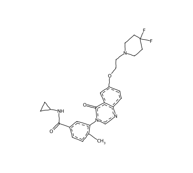 Cc1ccc(C(=O)NC2CC2)cc1-n1cnc2ccc(OCCN3CCC(F)(F)CC3)cc2c1=O